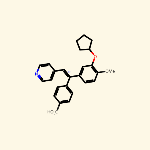 COc1ccc(/C(=C/c2ccncc2)c2ccc(C(=O)O)cc2)cc1OC1CCCC1